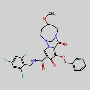 COC1CCN2CN(CC1)n1cc(C(=O)NCc3c(F)cc(F)cc3F)c(=O)c(OCc3ccccc3)c1C2=O